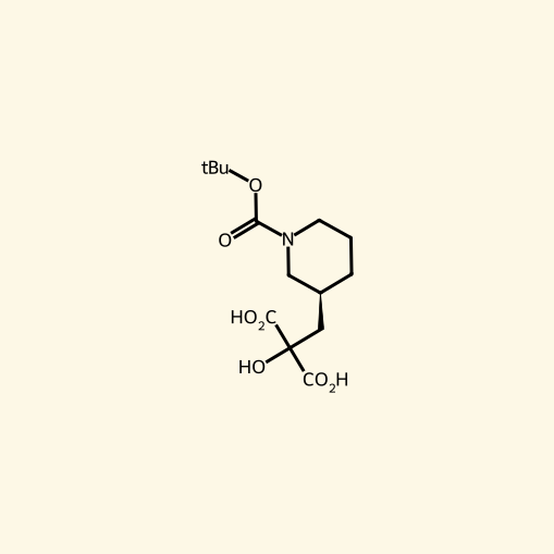 CC(C)(C)OC(=O)N1CCC[C@@H](CC(O)(C(=O)O)C(=O)O)C1